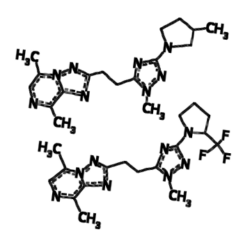 Cc1ncc(C)n2nc(CCc3nc(N4CCC(C)C4)nn3C)nc12.Cc1ncc(C)n2nc(CCc3nc(N4CCCC4C(F)(F)F)nn3C)nc12